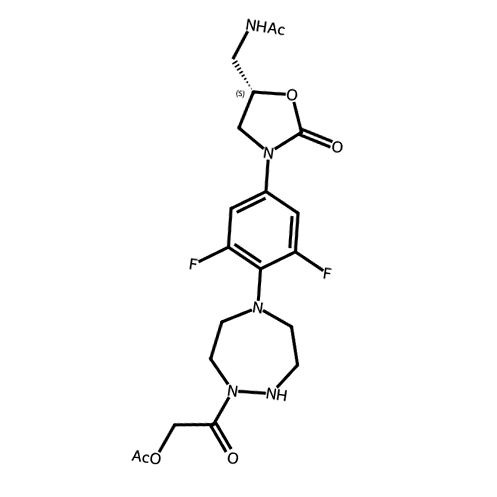 CC(=O)NC[C@H]1CN(c2cc(F)c(N3CCNN(C(=O)COC(C)=O)CC3)c(F)c2)C(=O)O1